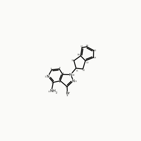 Nc1nccc2c1c(Br)nn2C1Cc2ccccc2C1